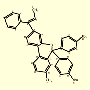 CC=C(c1ccccc1)c1ccc2c(c1)OC(c1ccc(C(C)(C)C)cc1)(c1ccc(C(C)(C)C)cc1)c1cc(C)ccc1-2